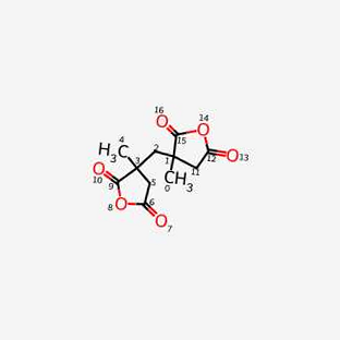 CC1(CC2(C)CC(=O)OC2=O)CC(=O)OC1=O